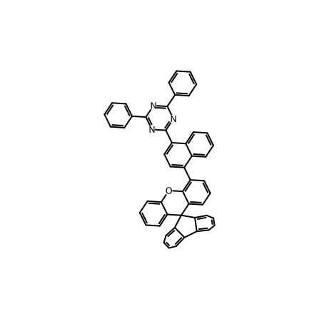 c1ccc(-c2nc(-c3ccccc3)nc(-c3ccc(-c4cccc5c4Oc4ccccc4C54c5ccccc5-c5ccccc54)c4ccccc34)n2)cc1